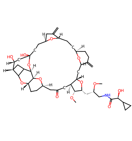 C=C1C[C@@H]2CC[C@@]3(O)C[C@@H](O)[C@@H]4CC5C4O[C@H]4CC[C@H](CC(=O)C[C@@H]6[C@@H](OC)[C@@H](C[C@@H](CNC(=O)[C@@H](O)C7CC7)OC)O[C@H]6C[C@H]6O[C@H](CCC6=C)CC[C@@H]1O2)O[C@@H]4[C@@H]5O3